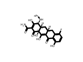 CCCN[C@@H]1C(O)=C(C(N)=O)C(=O)[C@@]2(O)C(O)=C3C(=O)c4c(O)ccc(F)c4C[C@H]3C[C@@H]12